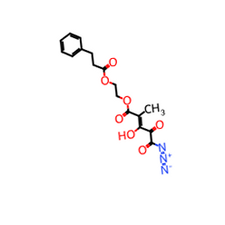 C/C(C(=O)OCCOC(=O)CCc1ccccc1)=C(/O)C(=O)C(=O)N=[N+]=[N-]